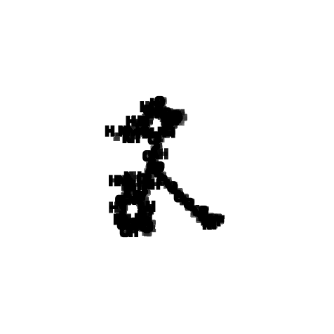 N=C(N)NCCC[C@@H]1NC(=O)[C@H](CCCCNC(=O)CCN(CCC(=O)NCCCC[C@@H]2NC(=O)N(Cc3ccccc3)NC(=O)[C@H](CC(=O)O)NC(=O)CNC(=O)[C@H](CCCNC(=N)N)NC2=O)C(=O)CCOCCOCCOCCOCCCC(=O)Cn2cc(C[18F])nn2)NC(=O)N(Cc2ccccc2)NC(=O)[C@H](CC(=O)O)NC(=O)CNC1=O